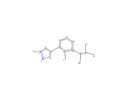 Cc1c(-c2cnn(C)c2)cccc1C(C)C(C)C